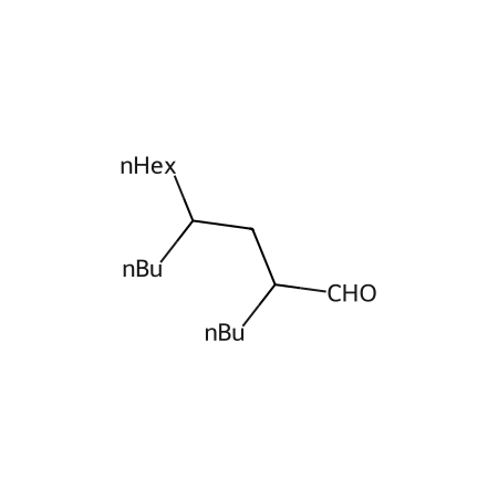 CCCCCCC(CCCC)CC(C=O)CCCC